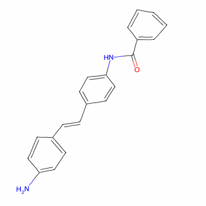 Nc1ccc(C=Cc2ccc(NC(=O)c3ccccc3)cc2)cc1